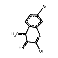 C=C1C(=N)C(O)=Nc2cc(Br)ccc21